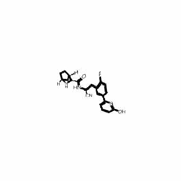 N#C[C@H](Cc1cc(-c2cccc(O)n2)ccc1F)NC(=O)[C@H]1N[C@@H]2CC[C@H]1C2